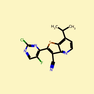 CC(C)c1ccnc2c(C#N)c(-c3nc(Cl)ncc3F)sc12